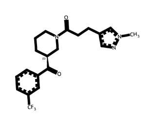 Cn1cc(CCC(=O)N2CCC[C@H](C(=O)c3cccc(C(F)(F)F)c3)C2)cn1